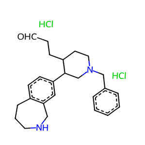 Cl.Cl.O=CCCC1CCN(Cc2ccccc2)CC1c1ccc2c(c1)CNCCC2